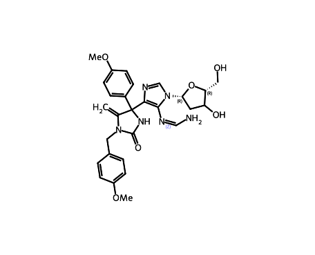 C=C1N(Cc2ccc(OC)cc2)C(=O)NC1(c1ccc(OC)cc1)c1ncn([C@H]2CC(O)[C@@H](CO)O2)c1/N=C\N